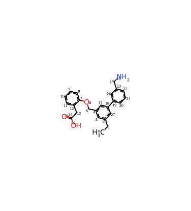 CCc1cc(COc2ccccc2CC(=O)O)cc(-c2cccc(CN)c2)c1